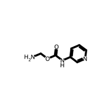 NCOC(=O)Nc1cccnc1